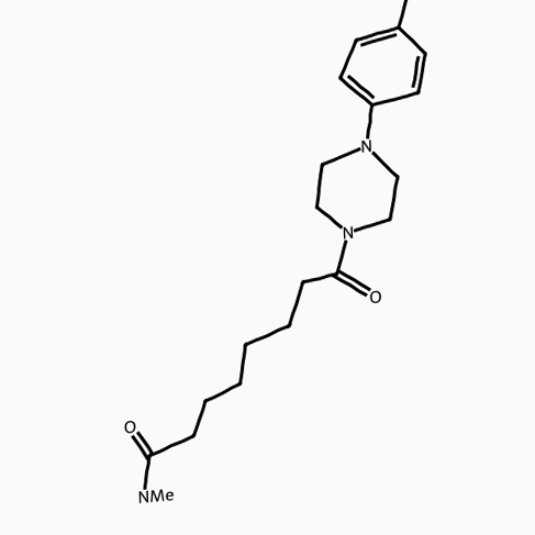 CNC(=O)CCCCCCC(=O)N1CCN(c2ccc(C)cc2)CC1